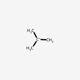 C[C+](C)C